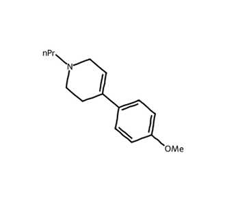 [CH2]CCN1CC=C(c2ccc(OC)cc2)CC1